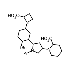 CC(C)N1CC(N2CCCCC2C(=O)O)CC1C1CC(N2CCC2C(=O)O)CCC1C(C)(C)C